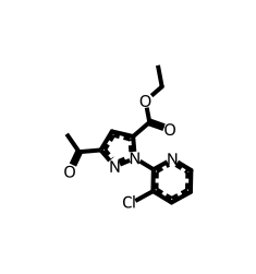 CCOC(=O)c1cc(C(C)=O)nn1-c1ncccc1Cl